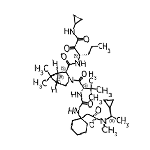 CCC[C@H](NC(=O)[C@@H]1[C@@H]2[C@H](CN1C(=O)[C@@H](NC(=O)NC1(CS(=O)(=O)N(C)[C@H](C)C3CC3)CCCCC1)C(C)(C)C)C2(C)C)C(=O)C(=O)NC1CC1